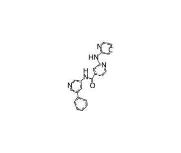 O=C(Nc1cncc(-c2ccccc2)c1)c1ccnc(Nc2ccccn2)c1